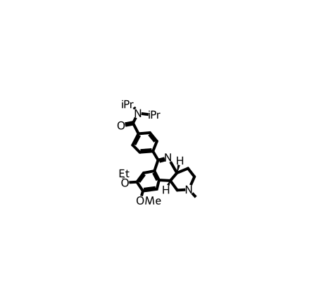 CCOc1cc2c(cc1OC)[C@H]1CN(C)CC[C@H]1N=C2c1ccc(C(=O)N(C(C)C)C(C)C)cc1